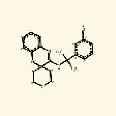 CC(C)(NC1=Nc2ccccc2NC12CCOCC2)c1cccc(Cl)c1